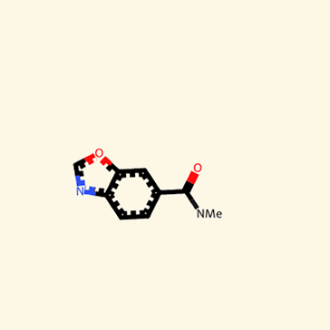 CNC(=O)c1ccc2ncoc2c1